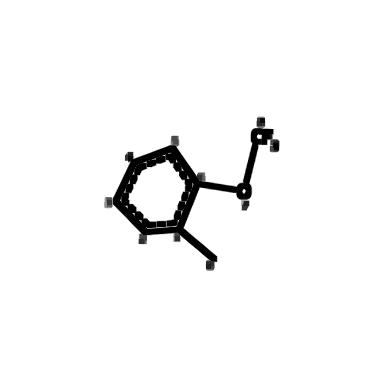 Cc1ccc[c]c1OC(F)(F)F